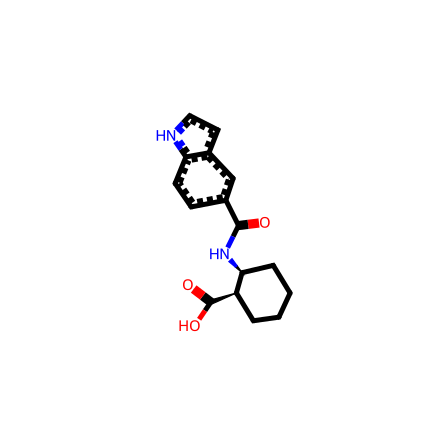 O=C(N[C@H]1CCCC[C@H]1C(=O)O)c1ccc2[nH]ccc2c1